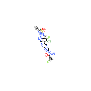 C[C@@H](N[S+]([O-])C(C)(C)C)c1c(F)c(Cl)c(-c2cn3cc(NC(=O)[C@@H]4C[C@@H]4F)nc3cn2)c2cn[nH]c12